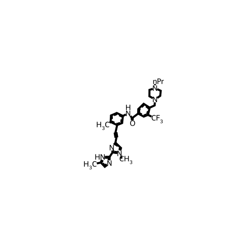 CCCN1CCN(Cc2ccc(C(=O)Nc3ccc(C)c(C#Cc4cn(C)c(-c5ncc(C)[nH]5)n4)c3)cc2C(F)(F)F)CC1